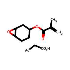 C=C(C)C(=O)OC1CCC2OC2C1.CC(=O)CC(=O)O